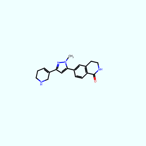 Cn1nc(C2=CCCNC2)cc1-c1ccc2c(c1)CCNC2=O